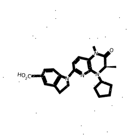 C[C@@H]1C(=O)N(C)c2ccc(N3CCc4cc(C(=O)O)ccc43)nc2N1C1CCCC1